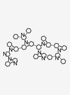 c1ccc(-c2cc(-n3c4ccccc4c4ccc(-c5ccc6c(c5)c5ccccc5n6-c5cc(-c6ccc7c(c6)c6ccc(-c8ccc9c(c8)c8ccccc8n9-c8cncc(-n9c%10ccccc%10c%10ncccc%109)c8)cc6n7-c6cc(-c7ccccc7)nc(-c7ccccc7)c6)cc(-n6c7ccccc7c7ncccc76)c5)cc43)cc(-c3ccccc3)n2)cc1